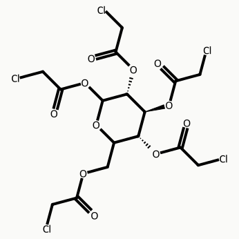 O=C(CCl)OCC1OC(OC(=O)CCl)[C@H](OC(=O)CCl)[C@@H](OC(=O)CCl)[C@@H]1OC(=O)CCl